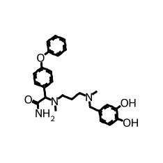 CN(CCCN(C)C(C(N)=O)c1ccc(Oc2ccccc2)cc1)Cc1ccc(O)c(O)c1